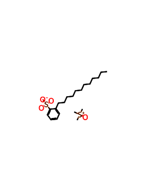 CCCCCCCCCCCCc1ccccc1S(=O)(=O)[O-].C[S+](C)(C)=O